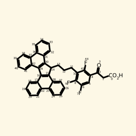 O=C(O)CC(=O)c1cc(F)c(F)c(CCCC2c3c(c4ccccc4c4ccccc34)-c3c2c2ccccc2c2ccccc32)c1F